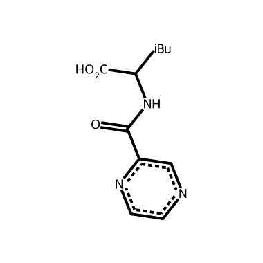 CCC(C)C(NC(=O)c1cnccn1)C(=O)O